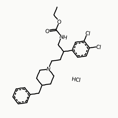 CCOC(=O)NCC(CCN1CCC(Cc2ccccc2)CC1)c1ccc(Cl)c(Cl)c1.Cl